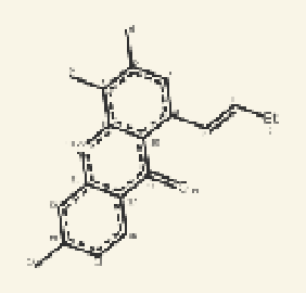 CCC=Cc1cc(C)c(C)c2oc3cc(C)ccc3c(=O)c12